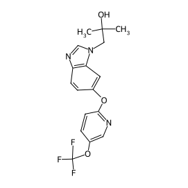 CC(C)(O)Cn1cnc2ccc(Oc3ccc(OC(F)(F)F)cn3)cc21